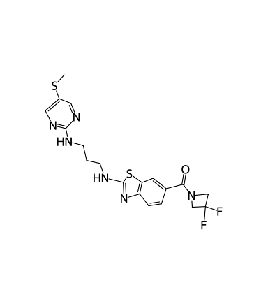 CSc1cnc(NCCCNc2nc3ccc(C(=O)N4CC(F)(F)C4)cc3s2)nc1